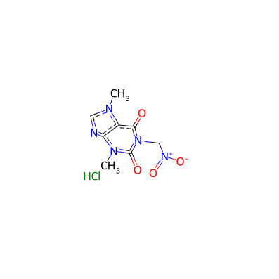 Cl.Cn1cnc2c1c(=O)n(C[N+](=O)[O-])c(=O)n2C